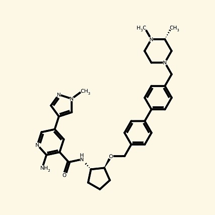 C[C@@H]1CN(Cc2ccc(-c3ccc(CO[C@H]4CCC[C@@H]4NC(=O)c4cc(-c5cnn(C)c5)cnc4N)cc3)cc2)CCN1C